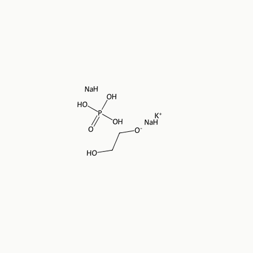 O=P(O)(O)O.[K+].[NaH].[NaH].[O-]CCO